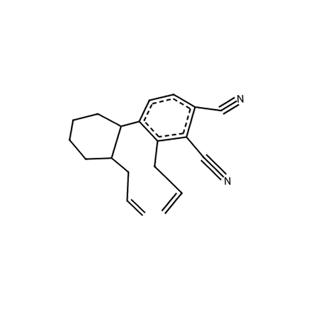 C=CCc1c(C2CCCCC2CC=C)ccc(C#N)c1C#N